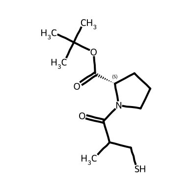 CC(CS)C(=O)N1CCC[C@H]1C(=O)OC(C)(C)C